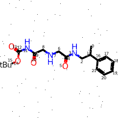 CC(CNC(=O)CNCC(=O)NC(=O)OC(C)(C)C)c1ccccc1